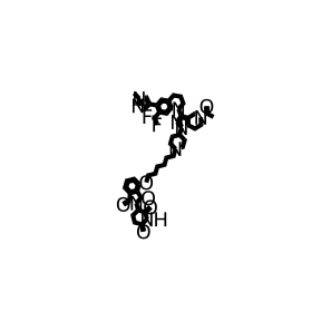 CC(=O)N1CCc2c(c(N3CCCc4cc(-c5cnn(C)c5)c(C(F)F)cc43)nn2C2CCN(CCCCCCOc3cccc4c3C(=O)N(C3CCC(=O)NC3=O)C4=O)CC2)C1